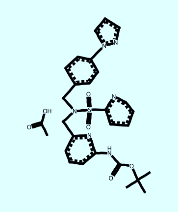 CC(=O)O.CC(C)(C)OC(=O)Nc1cccc(CN(Cc2ccc(-n3cccn3)cc2)S(=O)(=O)c2ccccn2)n1